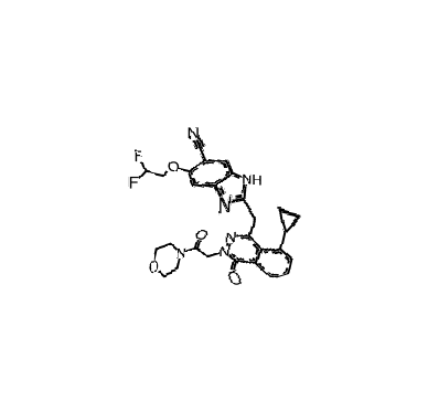 N#Cc1cc2[nH]c(Cc3nn(CC(=O)N4CCOCC4)c(=O)c4cccc(C5CC5)c34)nc2cc1OCC(F)F